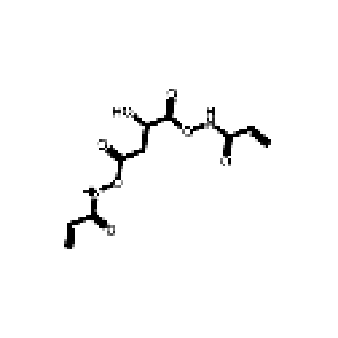 C=CC(=O)NOC(=O)CC(O)C(=O)ONC(=O)C=C